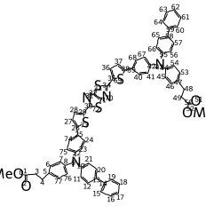 COC(=O)CCc1ccc(N(c2ccc(-c3ccccc3)cc2)c2ccc(-c3ccc(-c4nc5sc(-c6ccc(-c7ccc(N(c8ccc(CCC(=O)OC)cc8)c8ccc(-c9ccccc9)cc8)cc7)s6)nc5s4)s3)cc2)cc1